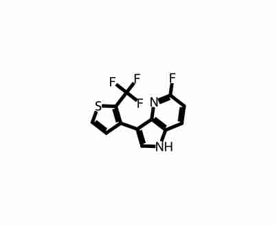 Fc1ccc2[nH]cc(-c3ccsc3C(F)(F)F)c2n1